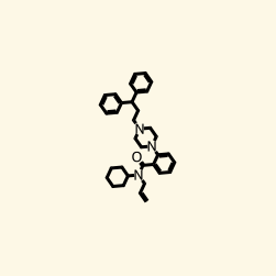 C=CCN(C(=O)c1ccccc1N1CCN(CCC(c2ccccc2)c2ccccc2)CC1)C1CCCCC1